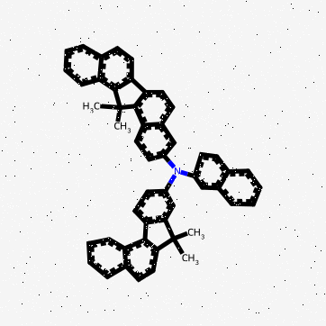 CC1(C)c2cc(N(c3ccc4ccccc4c3)c3ccc4c5c(ccc4c3)-c3ccc4ccccc4c3C5(C)C)ccc2-c2c1ccc1ccccc21